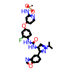 CC(C)n1cc(NC(=O)Nc2ccc(Oc3ccnc(NS(C)(=O)=O)c3)cc2F)c(-c2ccc3ocnc3c2)n1